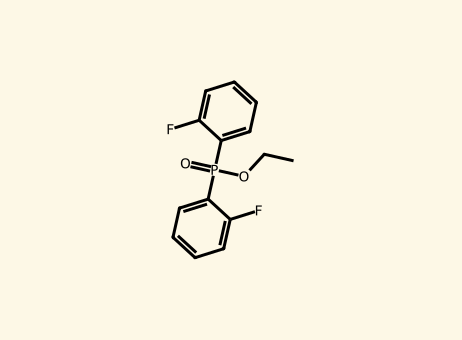 CCOP(=O)(c1ccccc1F)c1ccccc1F